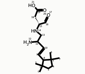 CC1(C)CCC(C)(C)C1C=CC(N)CN[C@@H](C=O)CC(=O)O